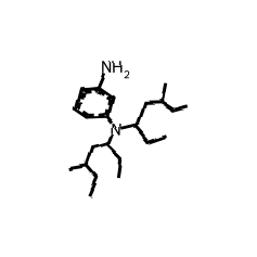 CCC(C)CC(CC)N(c1cccc(N)c1)C(CC)CC(C)CC